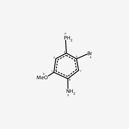 COc1cc(P)c(Br)cc1N